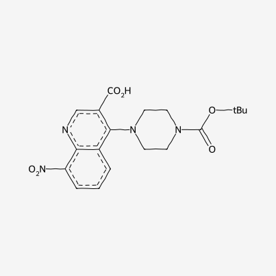 CC(C)(C)OC(=O)N1CCN(c2c(C(=O)O)cnc3c([N+](=O)[O-])cccc23)CC1